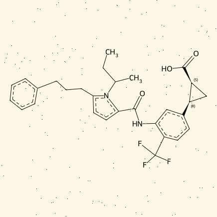 CCC(C)n1c(CCCc2ccccc2)ccc1C(=O)Nc1cc([C@@H]2C[C@@H]2C(=O)O)ccc1C(F)(F)F